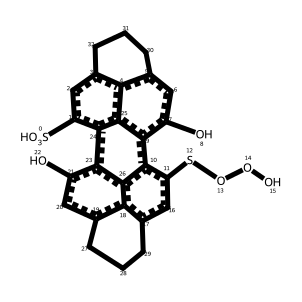 O=S(=O)(O)c1cc2c3c(cc(O)c4c5c(SOOO)cc6c7c(cc(O)c(c1c34)c75)CCC6)CCC2